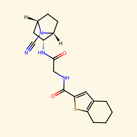 N#CN1[C@H]2CC[C@@H]1[C@H](NC(=O)CNC(=O)c1cc3c(s1)CCCC3)C2